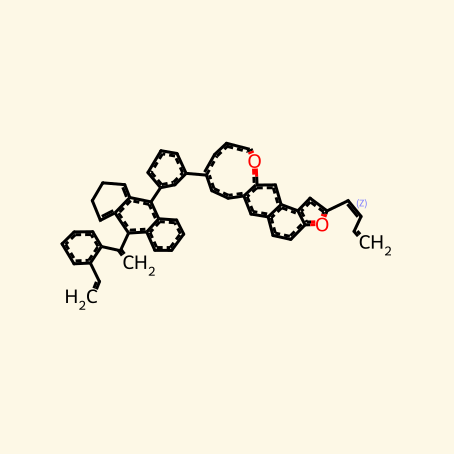 C=C/C=C\c1cc2c(ccc3cc4ccc(-c5cccc(-c6c7c(c(C(=C)c8ccccc8C=C)c8ccccc68)=CCCC=7)c5)cccoc4cc32)o1